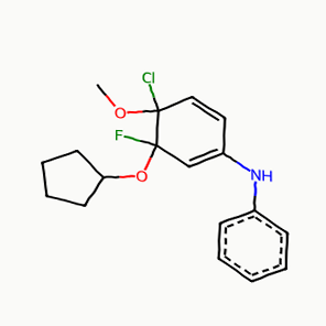 COC1(Cl)C=CC(Nc2ccccc2)=CC1(F)OC1CCCC1